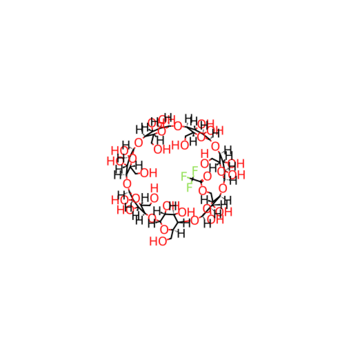 O=C(OC[C@H]1O[C@@H]2O[C@H]3[C@H](O)[C@@H](O)[C@@H](O[C@H]4[C@H](O)[C@@H](O)[C@@H](O[C@H]5[C@H](O)[C@@H](O)[C@@H](O[C@H]6[C@H](O)[C@@H](O)[C@@H](O[C@H]7[C@H](O)[C@@H](O)[C@@H](O[C@H]8[C@H](O)[C@@H](O)[C@@H](O[C@H]1[C@H](O)[C@H]2O)O[C@@H]8CO)O[C@@H]7CO)O[C@@H]6CO)O[C@@H]5CO)O[C@@H]4CO)O[C@@H]3CO)C(F)(F)F